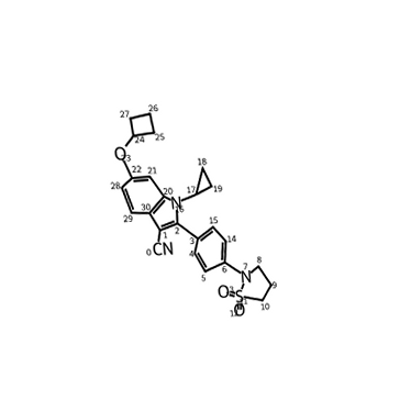 N#Cc1c(-c2ccc(N3CCCS3(=O)=O)cc2)n(C2CC2)c2cc(OC3CCC3)ccc12